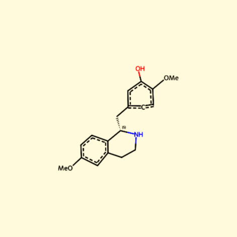 COc1ccc2c(c1)CCN[C@H]2Cc1ccc(OC)c(O)c1